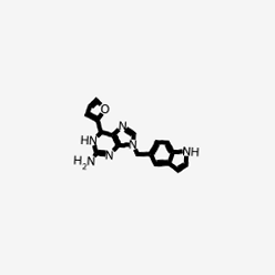 NC1=Nc2c(ncn2Cc2ccc3[nH]ccc3c2)C(c2ccco2)N1